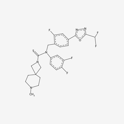 CN1CCC2(CC1)CN(C(=S)N(Cc1ccc(-c3nnc(C(F)F)o3)cc1F)c1ccc(F)c(F)c1)C2